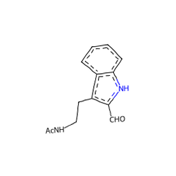 CC(=O)NCCc1c(C=O)[nH]c2ccccc12